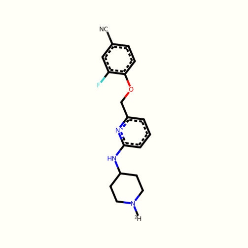 [2H]N1CCC(Nc2cccc(COc3ccc(C#N)cc3F)n2)CC1